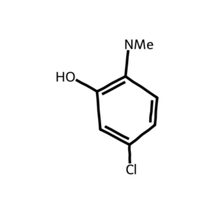 CNc1ccc(Cl)cc1O